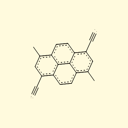 Cc1cc(C#N)c2ccc3c(C)cc(C#N)c4ccc1c2c34